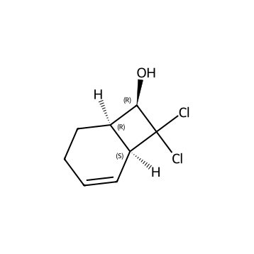 O[C@@H]1[C@@H]2CCC=C[C@@H]2C1(Cl)Cl